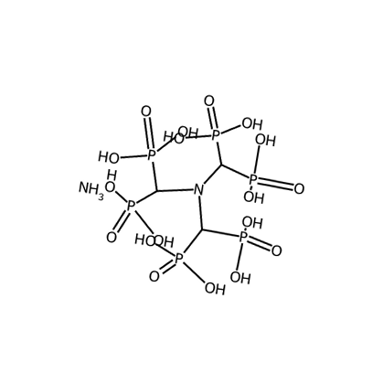 N.O=P(O)(O)C(N(C(P(=O)(O)O)P(=O)(O)O)C(P(=O)(O)O)P(=O)(O)O)P(=O)(O)O